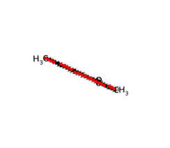 CCCCCCCCCCCCCCCCCCCCCCCCCCCCCCCCCCCCCCCC(=O)OCCCCCCCCCCCCC